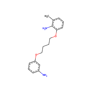 Cc1cccc(OCCCCOc2cccc(N)c2)c1N